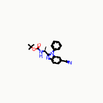 C[C@H](NC(=O)OC(C)(C)C)c1nc2ccc(C#N)cc2n1-c1ccccc1